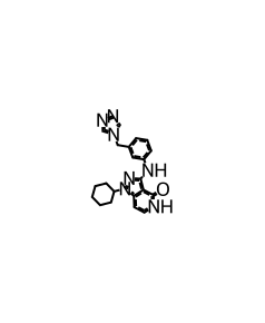 O=c1[nH]ccc2c1c(Nc1cccc(Cn3cnnc3)c1)nn2C1CCCCC1